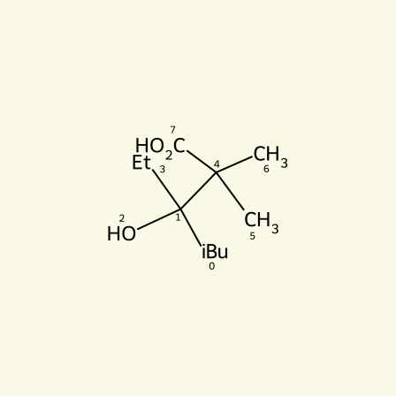 CCC(C)C(O)(CC)C(C)(C)C(=O)O